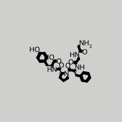 NCC(=O)NCC(=O)N[C@@H](Cc1ccccc1)C(=O)N1CCC[C@H]1C(=O)N[C@@H](Cc1ccc(O)cc1)C(=O)O